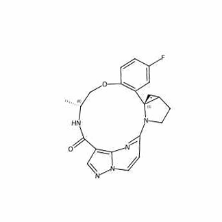 C[C@@H]1COc2ccc(F)cc2[C@]23C=C2CCN3c2ccn3ncc(c3n2)C(=O)N1